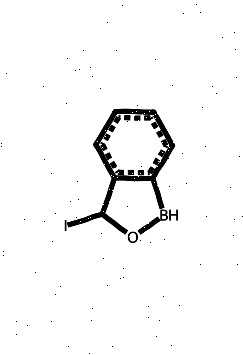 IC1OBc2ccccc21